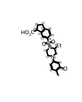 CCC1CN(c2ccc(C)c(Cl)c2)CCN1S(=O)(=O)c1ccc2c(c1)C(C(=O)O)CC2